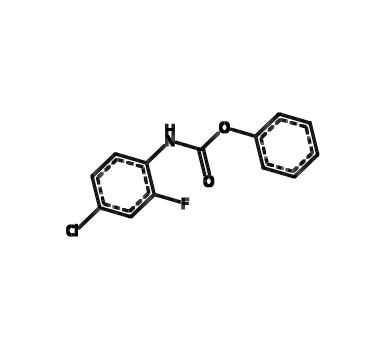 O=C(Nc1ccc(Cl)cc1F)Oc1ccccc1